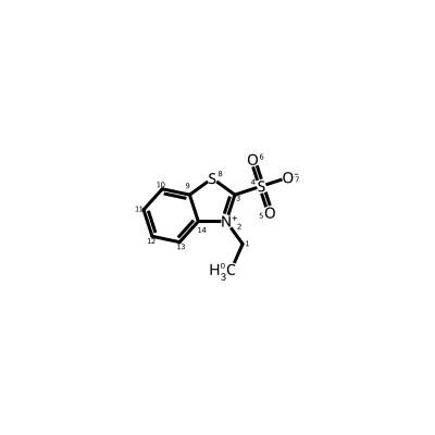 CC[n+]1c(S(=O)(=O)[O-])sc2ccccc21